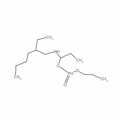 CCCCC(CC)CNC(CC)O[PH](=O)OCCC